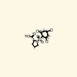 O=C(O)[C@@H]1CCCN1S(=O)(=O)c1c(Cl)cc(Cl)cc1Cl